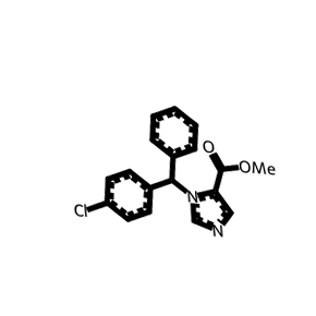 COC(=O)c1cncn1C(c1ccccc1)c1ccc(Cl)cc1